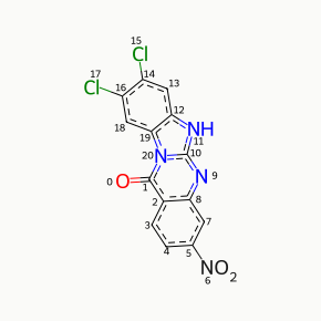 O=c1c2ccc([N+](=O)[O-])cc2nc2[nH]c3cc(Cl)c(Cl)cc3n12